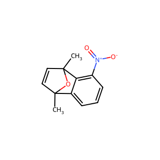 CC12C=CC(C)(O1)c1c([N+](=O)[O-])cccc12